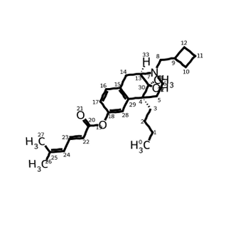 CCCC[C@]12CCN(CC3CCC3)[C@H](Cc3ccc(OC(=O)/C=C/C=C(C)C)cc31)[C@@]2(C)O